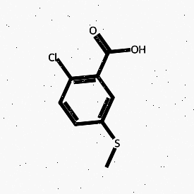 CSc1ccc(Cl)c(C(=O)O)c1